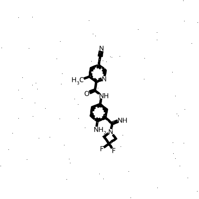 Cc1cc(C#N)cnc1C(=O)Nc1ccc(N)c(C(=N)N2CC(F)(F)C2)c1